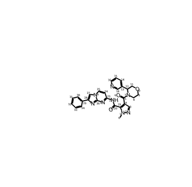 Cn1ncc(C(=O)N2CCOCC2c2cccnc2)c1C(=O)Nc1ccn2cc(-c3ccccc3)nc2n1